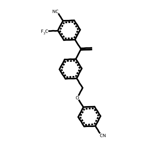 C=C(c1cccc(COc2ccc(C#N)cc2)c1)c1ccc(C#N)c(C(F)(F)F)c1